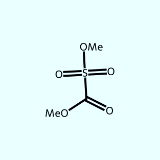 COC(=O)S(=O)(=O)OC